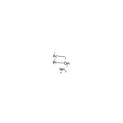 CC(C)=O.CC(C)O.N